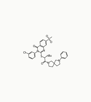 CCCCC(Sc1nc2cc(S(C)(=O)=O)ccc2c(=O)n1-c1cccc(Cl)c1)C(=O)N1CCC2(CCN(c3ccccc3)C2)C1